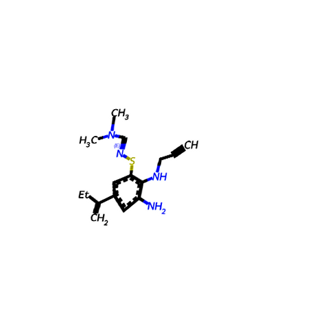 C#CCNc1c(N)cc(C(=C)CC)cc1S/N=C/N(C)C